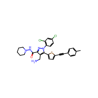 Cc1ccc(C#Cc2ccc(-c3c(CN)c(C(=O)NN4CCCCC4)nn3-c3ccc(Cl)cc3Cl)s2)cc1